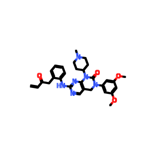 C=CC(=O)Cc1ccccc1Nc1ncc2c(n1)N(C1CCN(C)CC1)C(=O)N(c1cc(OC)cc(OC)c1)C2